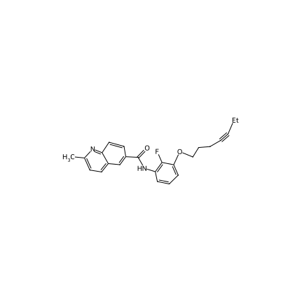 CCC#CCCCOc1cccc(NC(=O)c2ccc3nc(C)ccc3c2)c1F